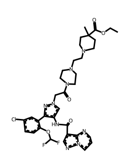 CCOC(=O)C1(C)CCN(CCN2CCN(C(=O)Cn3cc(NC(=O)c4cnn5cccnc45)c(-c4cc(Cl)ccc4OC(F)F)n3)CC2)CC1